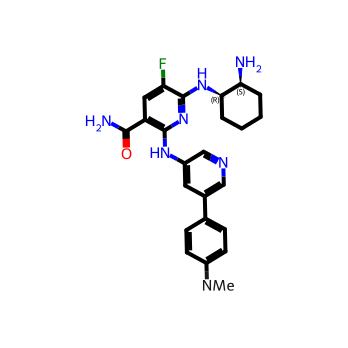 CNc1ccc(-c2cncc(Nc3nc(N[C@@H]4CCCC[C@@H]4N)c(F)cc3C(N)=O)c2)cc1